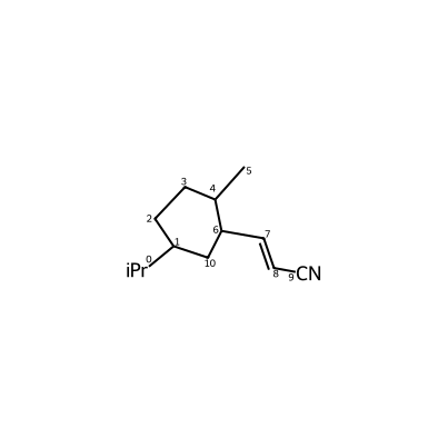 CC(C)C1CCC(C)C(C=CC#N)C1